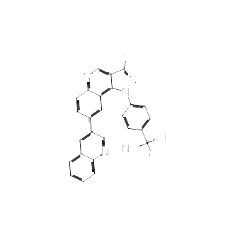 Cc1nn(-c2ccc(C(C)(C)C#N)cc2)c2c1cnc1ccc(-c3cnc4ccccc4c3)cc12